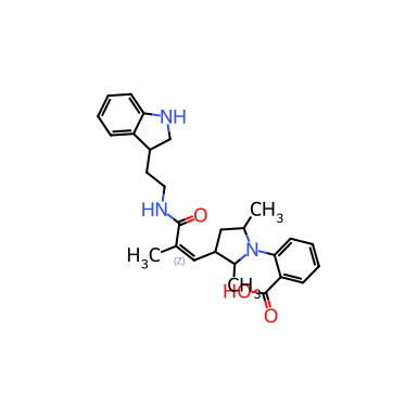 C/C(=C/C1CC(C)N(c2ccccc2C(=O)O)C1C)C(=O)NCCC1CNc2ccccc21